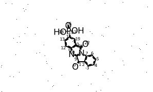 O=C1c2ccccc2-n2c1nc1ccc(P(=O)(O)O)cc1c2=O